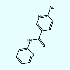 CC(=O)c1ccc(C(=S)Nc2ccccn2)cn1